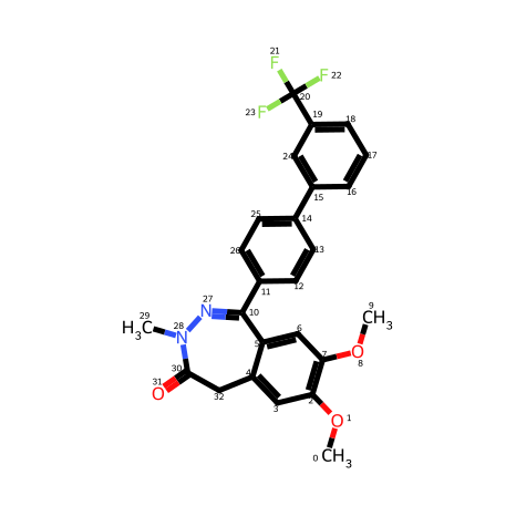 COc1cc2c(cc1OC)C(c1ccc(-c3cccc(C(F)(F)F)c3)cc1)=NN(C)C(=O)C2